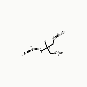 COCC(C)(CN=[N+]=[N-])CN=[N+]=[N-]